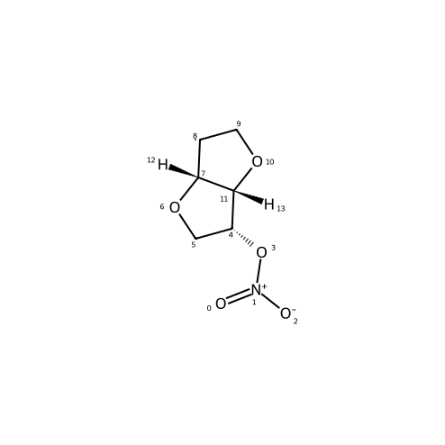 O=[N+]([O-])O[C@@H]1CO[C@@H]2[CH]CO[C@@H]21